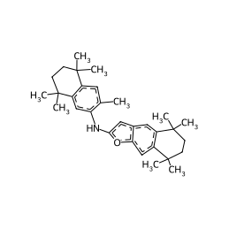 Cc1cc2c(cc1Nc1cc3cc4c(cc3o1)C(C)(C)CCC4(C)C)C(C)(C)CCC2(C)C